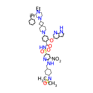 CCN1CCN(C2CC3(CCN(c4ccc(C(=O)NS(=O)(=O)c5cnc(NCC6CCC(N=S(C)(C)=O)CC6)c([N+](=O)[O-])c5)c(Oc5cnc6[nH]ccc6c5)c4)CC3)C2)[C@H](c2ccccc2C(C)C)C1